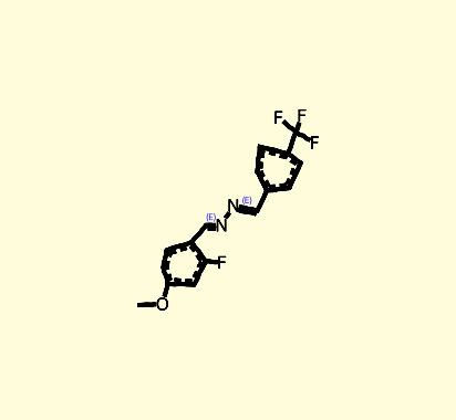 COc1ccc(/C=N/N=C/c2ccc(C(F)(F)F)cc2)c(F)c1